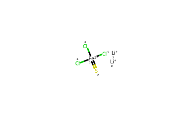 [Li+].[Li+].[S]=[Fe-2]([Cl])([Cl])[Cl]